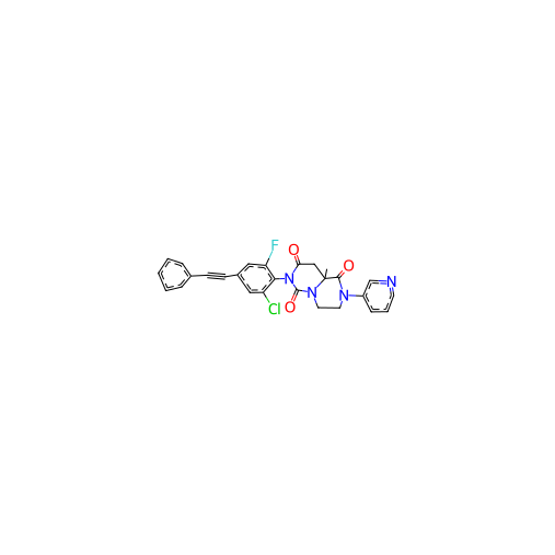 CC12CC(=O)N(c3c(F)cc(C#Cc4ccccc4)cc3Cl)C(=O)N1CCN(c1cccnc1)C2=O